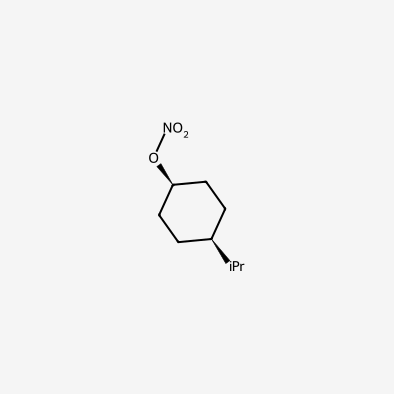 CC(C)[C@H]1CC[C@@H](O[N+](=O)[O-])CC1